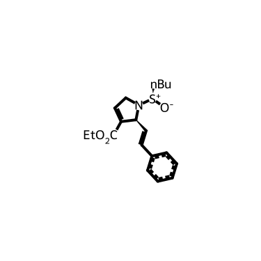 CCCC[S@+]([O-])N1CC=C(C(=O)OCC)[C@@H]1/C=C/c1ccccc1